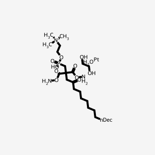 CCCCCCCCCCCCCCCCCC(=O)CC(CP(=O)(O)OCC[N+](C)(C)C)(C(=O)ON)C(=O)ON.O.OCCO.[Pt]